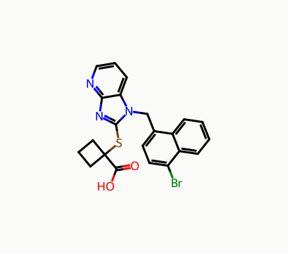 O=C(O)C1(Sc2nc3ncccc3n2Cc2ccc(Br)c3ccccc23)CCC1